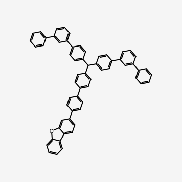 c1ccc(-c2cccc(-c3ccc(C(c4ccc(-c5ccc(-c6ccc7c(c6)oc6ccccc67)cc5)cc4)c4ccc(-c5cccc(-c6ccccc6)c5)cc4)cc3)c2)cc1